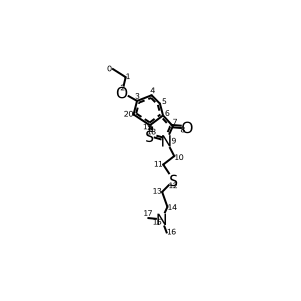 CCOc1ccc2c(=O)n(CCSCCN(C)C)sc2c1